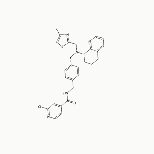 Cc1csc(CN(Cc2ccc(CNC(=O)c3ccnc(Cl)c3)cc2)C2CCCc3cccnc32)n1